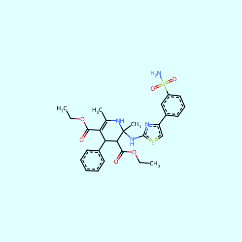 CCOC(=O)C1=C(C)NC(C)(Nc2nc(-c3cccc(S(N)(=O)=O)c3)cs2)C(C(=O)OCC)C1c1ccccc1